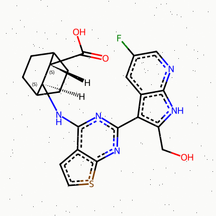 O=C(O)[C@H]1C2CCC(CC2)[C@@H]1Nc1nc(-c2c(CO)[nH]c3ncc(F)cc23)nc2sccc12